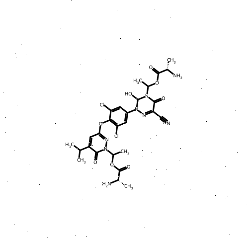 CC(C)c1cc(Oc2c(Cl)cc(N3N=C(C#N)C(=O)N(C(C)OC(=O)[C@H](C)N)C3O)cc2Cl)nn(C(C)OC(=O)[C@H](C)N)c1=O